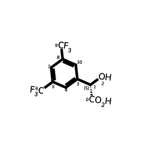 O=C(O)[C@@H](O)c1cc(C(F)(F)F)cc(C(F)(F)F)c1